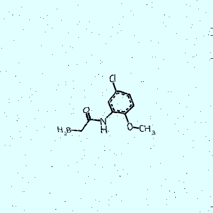 BCC(=O)Nc1cc(Cl)ccc1OC